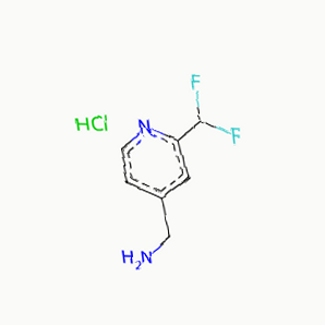 Cl.NCc1ccnc(C(F)F)c1